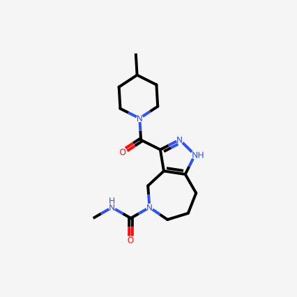 CNC(=O)N1CCCc2[nH]nc(C(=O)N3CCC(C)CC3)c2C1